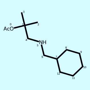 CC(=O)OC(C)(C)CNCC1CCCCC1